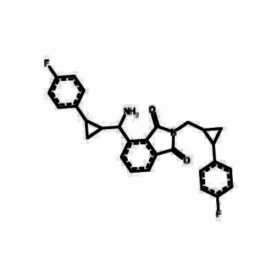 NC(c1cccc2c1C(=O)N(CC1CC1c1ccc(F)cc1)C2=O)C1CC1c1ccc(F)cc1